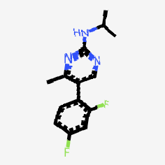 Cc1nc(NC(C)C)ncc1-c1ccc(F)cc1F